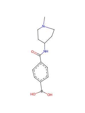 CN1CCC(NC(=O)c2ccc(B(O)O)cc2)CC1